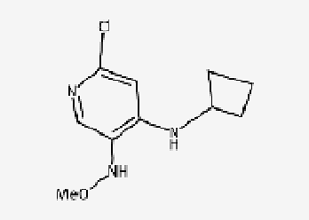 CONc1cnc(Cl)cc1NC1CCC1